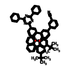 CC(C)(C)c1ccc2c(c1)c1ccccc1n2-c1ccc(-c2cccc(C#N)c2)cc1-c1cc(-c2nc(-c3ccccc3)nc(-c3ccccc3)n2)ccc1-n1c2ccccc2c2cc(C(C)(C)C)ccc21